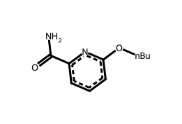 CCCCOc1cccc(C(N)=O)n1